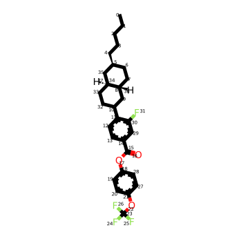 CCCCC[C@H]1CC[C@@H]2CC(c3ccc(C(=O)Oc4ccc(OC(F)(F)F)cc4)cc3F)CC[C@H]2C1